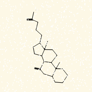 COC(=O)CCCC1CCC2C3C(=O)CC4CCCCC4(C)C3CCC12C